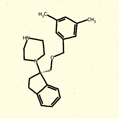 Cc1cc(C)cc(COC[C@@]2(N3CCNCC3)CCc3ccccc32)c1